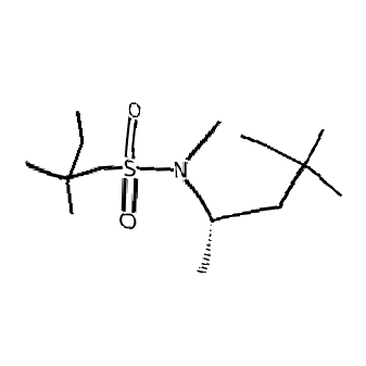 C[C@@H](CC(C)(C)C)N(C)S(=O)(=O)C(C)(C)C